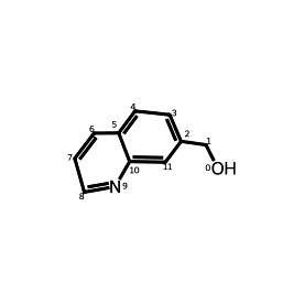 OCc1ccc2[c]ccnc2c1